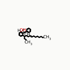 CCCCCCCCCCCC(CCC)c1cccc(O)c1C(C)(C)c1ccccc1